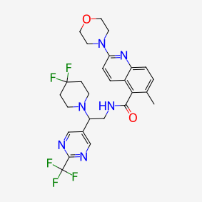 Cc1ccc2nc(N3CCOCC3)ccc2c1C(=O)NCC(c1cnc(C(F)(F)F)nc1)N1CCC(F)(F)CC1